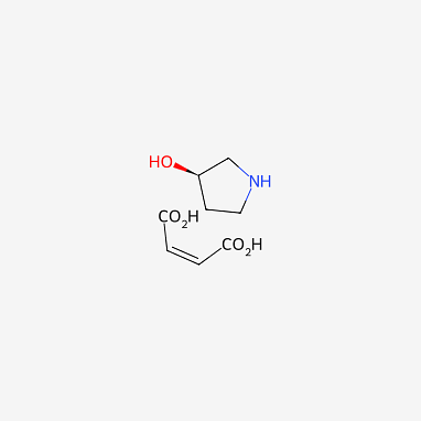 O=C(O)/C=C\C(=O)O.O[C@@H]1CCNC1